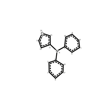 c1ccc(N(c2ccccc2)c2ccoc2)cc1